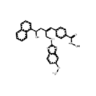 COc1ccc2nc(NCC(=Cc3ccc(C(=O)NO)cc3)CC(O)c3cccc4ccccc34)sc2c1